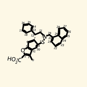 Cc1c(C(=O)O)oc2ccc(SN(CCc3ccccc3)Cc3cccc4ccccc34)cc12